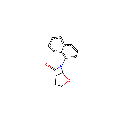 O=C1C2CCOC2N1c1cccc2ccccc12